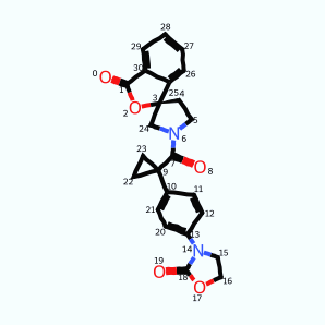 O=C1O[C@]2(CCN(C(=O)C3(c4ccc(N5CCOC5=O)cc4)CC3)C2)c2ccccc21